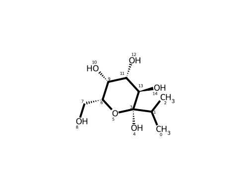 CC(C)[C@@]1(O)O[C@H](CO)[C@H](O)[C@H](O)[C@H]1O